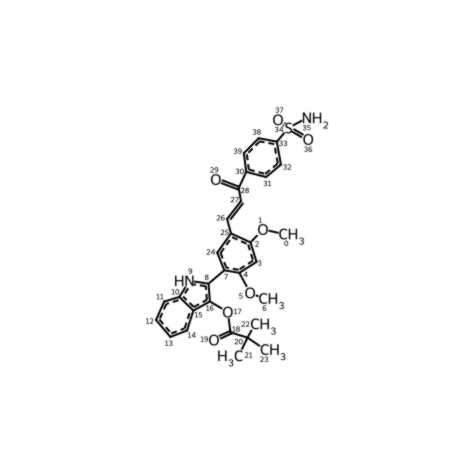 COc1cc(OC)c(-c2[nH]c3ccccc3c2OC(=O)C(C)(C)C)cc1/C=C/C(=O)c1ccc(S(N)(=O)=O)cc1